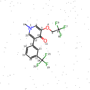 Cn1cc(OCC(F)(F)F)c(=O)c(-c2cccc(C(F)(F)F)c2)c1